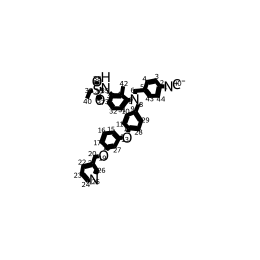 [C-]#[N+]c1ccc(CN(Cc2ccc(Oc3cccc(OCc4cccnc4)c3)cc2)c2cccc(NS(=O)(=O)CC)c2C)cc1